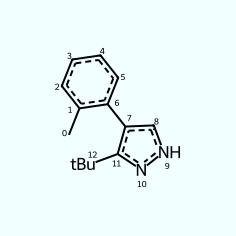 Cc1ccccc1-c1[c][nH]nc1C(C)(C)C